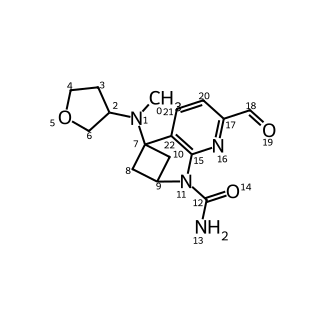 CN(C1CCOC1)C12CC(C1)N(C(N)=O)c1nc(C=O)ccc12